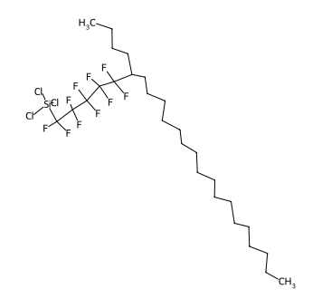 CCCCCCCCCCCCCCCCCC(CCCC)C(F)(F)C(F)(F)C(F)(F)C(F)(F)C(F)(F)[Si](Cl)(Cl)Cl